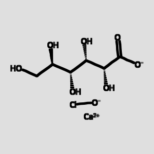 O=C([O-])[C@H](O)[C@@H](O)[C@H](O)[C@H](O)CO.[Ca+2].[O-]Cl